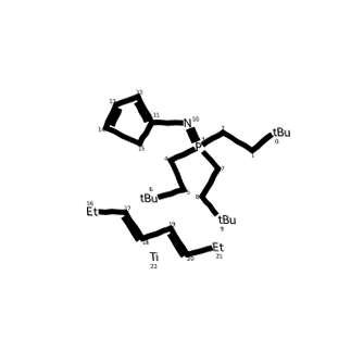 CC(C)(C)CCP(CCC(C)(C)C)(CCC(C)(C)C)=NC1=CC=CC1.CCC=CC=CCC.[Ti]